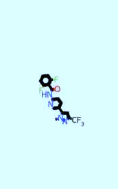 Cn1nc(C(F)(F)F)cc1-c1ccc(NC(=O)c2c(F)cccc2F)nc1